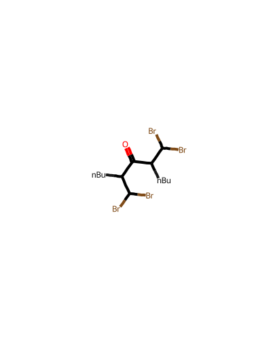 CCCCC(C(=O)C(CCCC)C(Br)Br)C(Br)Br